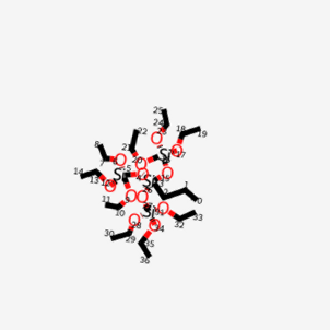 [CH2]CC[Si](O[Si](OCC)(OCC)OCC)(O[Si](OCC)(OCC)OCC)O[Si](OCC)(OCC)OCC